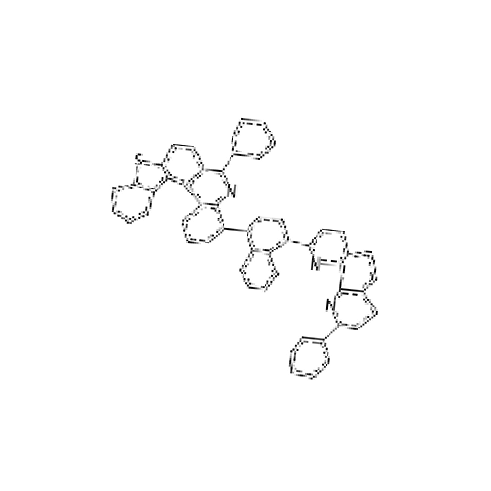 c1ccc(-c2ccc3ccc4ccc(-c5ccc(-c6cccc7c6nc(-c6ccccc6)c6ccc8sc9ccccc9c8c67)c6ccccc56)nc4c3n2)cc1